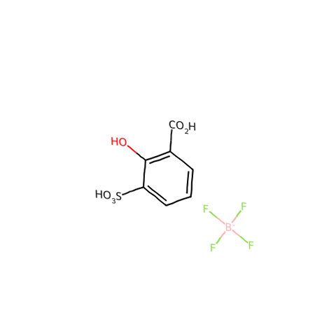 F[B-](F)(F)F.O=C(O)c1cccc(S(=O)(=O)O)c1O